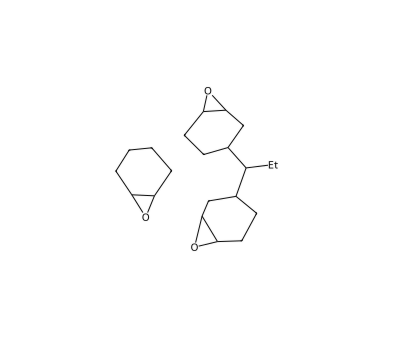 C1CCC2OC2C1.CCC(C1CCC2OC2C1)C1CCC2OC2C1